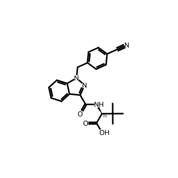 CC(C)(C)[C@H](NC(=O)c1nn(Cc2ccc(C#N)cc2)c2ccccc12)C(=O)O